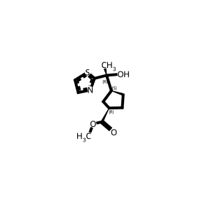 COC(=O)[C@@H]1CC[C@H]([C@@](C)(O)c2nccs2)C1